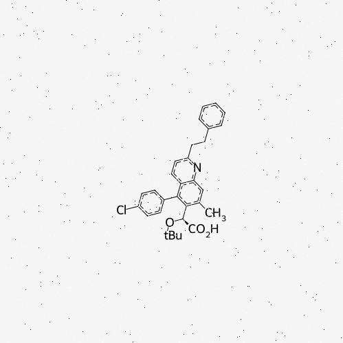 Cc1cc2nc(CCc3ccccc3)ccc2c(-c2ccc(Cl)cc2)c1[C@H](OC(C)(C)C)C(=O)O